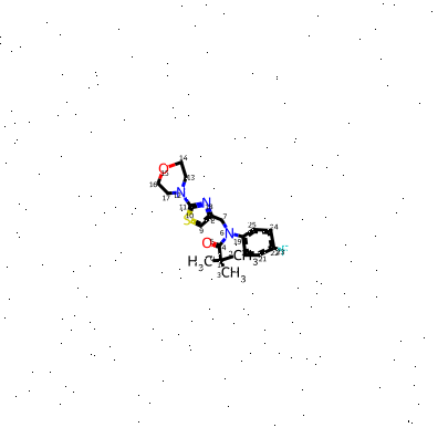 CC(C)(C)C(=O)N(Cc1csc(N2CCOCC2)n1)c1ccc(F)cc1